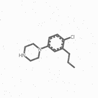 CCCc1cc(N2CCNCC2)ccc1Cl